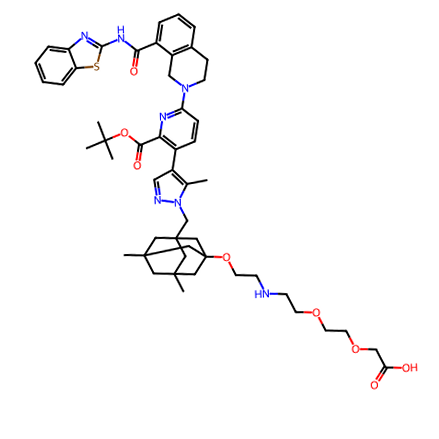 Cc1c(-c2ccc(N3CCc4cccc(C(=O)Nc5nc6ccccc6s5)c4C3)nc2C(=O)OC(C)(C)C)cnn1CC12CC3(C)CC(C)(C1)CC(OCCNCCOCCOCC(=O)O)(C3)C2